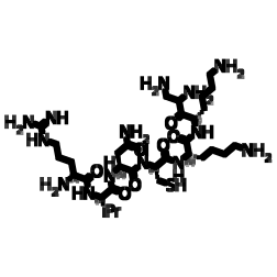 CC(C)[C@H](NC(=O)[C@@H](N)CCCNC(=N)N)C(=O)N[C@@H](CC(N)=O)C(=O)N[C@@H](CS)C(=O)N[C@@H](CCCCN)C(=O)N[C@@H](CCCCN)C(=O)C(N)CN